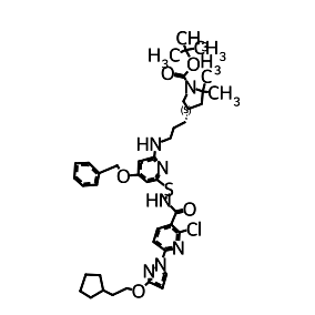 CC(C)(C)OC(=O)N1C[C@@H](CCCNc2cc(OCc3ccccc3)cc(SNC(=O)c3ccc(-n4ccc(OCCC5CCCC5)n4)nc3Cl)n2)CC1(C)C